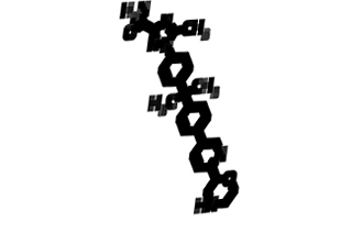 Cc1nc(C(N)=O)nn1-c1ccc(C(C)(C)c2ccc(-c3ccc(C4CNCCO4)nc3)cc2)cc1